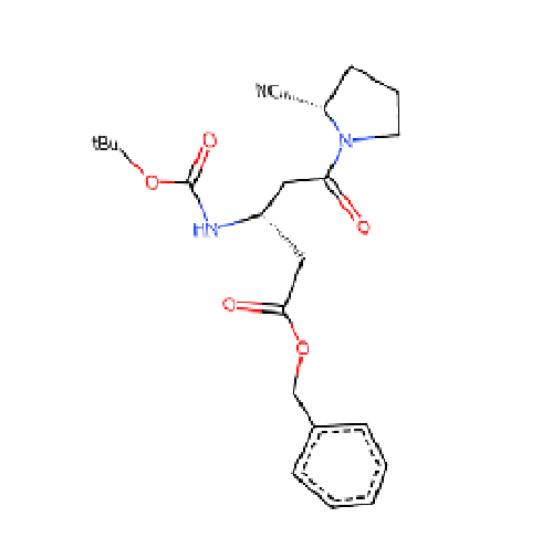 CC(C)(C)OC(=O)N[C@@H](CC(=O)OCc1ccccc1)CC(=O)N1CCC[C@H]1C#N